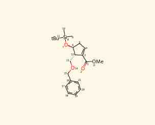 COC(=O)C1=CC[C@H](O[Si](C)(C)C(C)(C)C)[C@H]1COCc1ccccc1